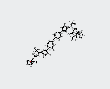 CCC1(C(=O)N[C@H](c2nc(-c3ccc(-c4ccc(-c5c[nH]c([C@@H](NC(=O)C6(CO)OC7CCC6CC7)C(C)(C)C)n5)cc4)cc3)c[nH]2)C(C)(C)C)OC2CCC1CC2